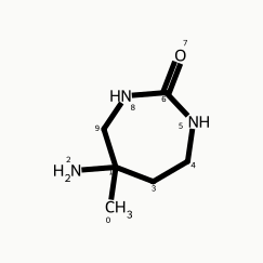 CC1(N)CCNC(=O)NC1